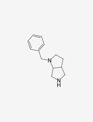 c1ccc(CN2CCC3CNCC32)cc1